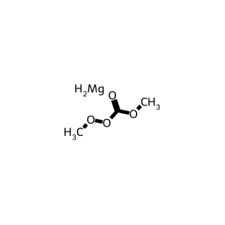 COOC(=O)OC.[MgH2]